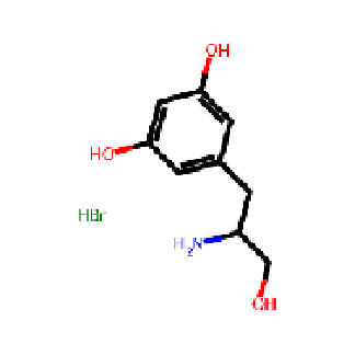 Br.NC(CO)Cc1cc(O)cc(O)c1